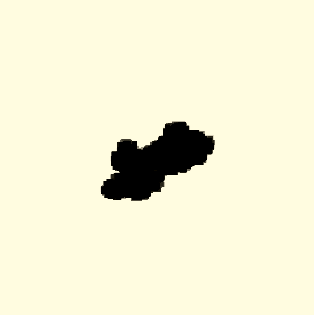 c1ccc(-c2ccc(N(c3ccc(C4(c5ccccc5)c5ccccc5-c5cc(-c6ccc7c(-c8c(N(c9ccc(C%10(c%11ccccc%11)c%11ccccc%11-c%11ccccc%11%10)cc9)c9cccc(-c%10ccccc%10)c9)c9ccccc9c9ccccc89)cccc7c6)ccc54)cc3)c3c(-c4ccc5ccccc5c4)c4ccccc4c4ccccc34)cc2)cc1